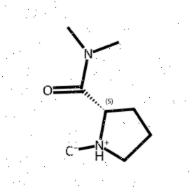 [CH2-][NH+]1CCC[C@H]1C(=O)N(C)C